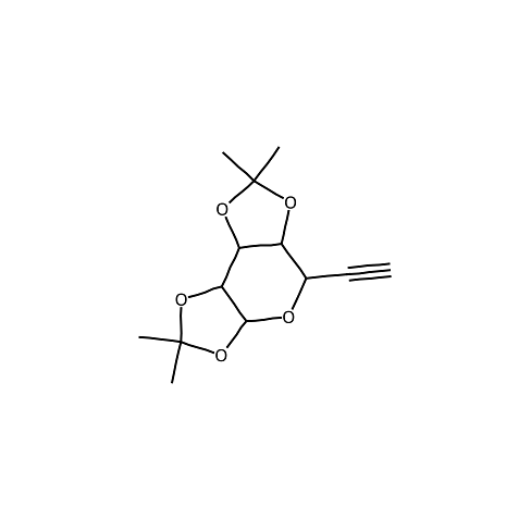 C#CC1OC2OC(C)(C)OC2C2OC(C)(C)OC12